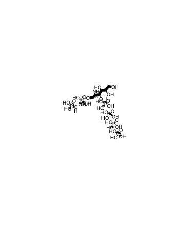 N[C@@H](C=O)[C@@H](O)[C@H](O)[C@H](O)CO.O=P(O)(O)O.O=P(O)(O)O.O=P(O)(O)O.O=P(O)(O)O.O=P(O)(O)O.O=P(O)(O)O